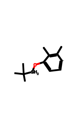 Cc1[c]ccc(O[SiH2]C(C)(C)C)c1C